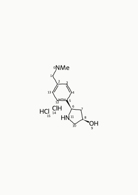 CNCc1ccc([C@H]2C[C@@H](O)CN2)cc1.Cl.Cl